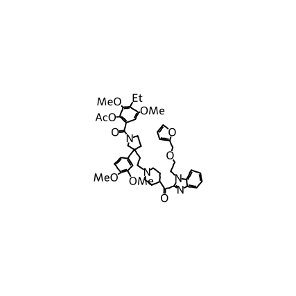 CCc1c(OC)cc(C(=O)N2CCC(CCN3CCC(C(=O)c4nc5ccccc5n4CCOCc4ccco4)CC3)(c3ccc(OC)c(OC)c3)C2)c(OC(C)=O)c1OC